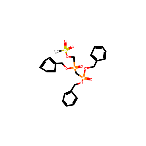 O=P(COS(=O)(=O)C(F)(F)F)(CP(=O)(OCc1ccccc1)OCc1ccccc1)OCc1ccccc1